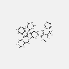 CC1(C)c2ccccc2Oc2c(-c3ccc(C4(c5ccccc5)c5ccccc5-c5c4ccc4ccccc54)cc3)cccc21